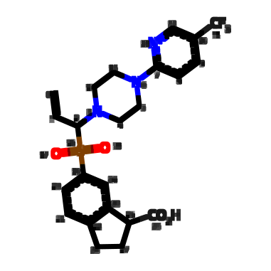 C=CC(N1CCN(c2ccc(C(F)(F)F)cn2)CC1)S(=O)(=O)c1ccc2c(c1)C(C(=O)O)CC2